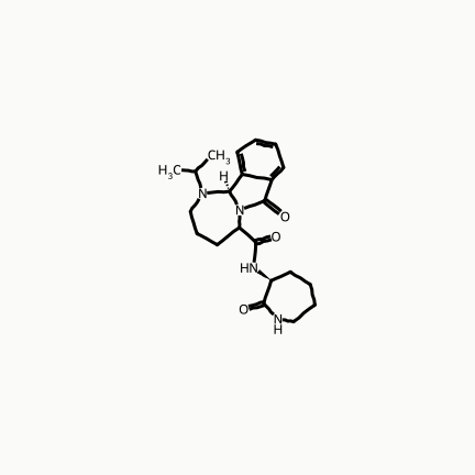 CC(C)N1CCCC(C(=O)N[C@H]2CCCCNC2=O)N2C(=O)c3ccccc3[C@H]12